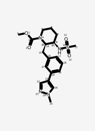 COC(=O)N1CCC[C@@H](NS(C)(=O)=O)[C@H]1Cc1cccc(-c2cnn(C)c2)c1